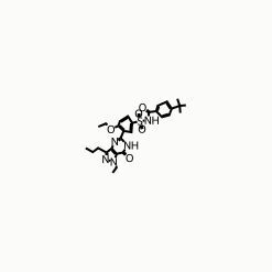 CCCc1nn(CC)c2c(=O)[nH]c(-c3cc(S(=O)(=O)NC(=O)c4ccc(C(C)(C)C)cc4)ccc3OCC)nc12